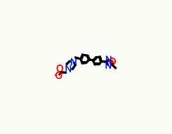 COC(=O)CN1CCN(Cc2ccc(-c3ccc(-c4noc(C)n4)cc3)cc2)CC1